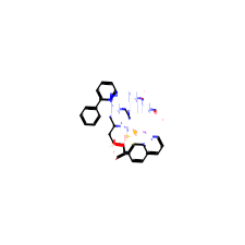 NC(=O)NC=O.O=S(=O)(c1cccc2cccnc12)N1CCN(c2ccccc2-c2ccccc2)CC1Cc1ccco1